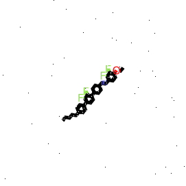 CCCCCc1ccc(-c2ccc(C3CCC(/C=C/c4ccc(OCC)c(F)c4F)CC3)c(F)c2F)cc1